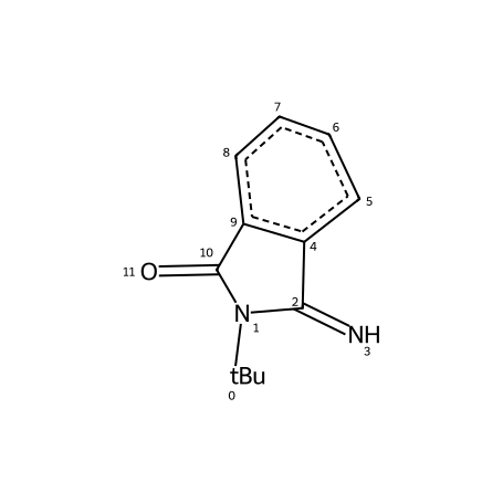 CC(C)(C)N1C(=N)c2ccccc2C1=O